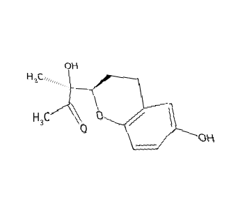 CC(=O)[C@@](C)(O)[C@H]1CCc2cc(O)ccc2O1